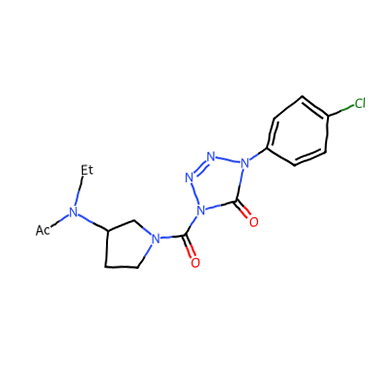 CCN(C(C)=O)C1CCN(C(=O)n2nnn(-c3ccc(Cl)cc3)c2=O)C1